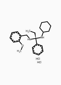 CC[C@@](NCc1ccccc1OC)(NC1CCCCC1)c1ccccc1.Cl.Cl